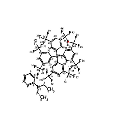 CCN(CC)c1ccccc1.FC(F)(F)c1cc([B-](c2cc(C(F)(F)F)cc(C(F)(F)F)c2)(c2cc(C(F)(F)F)cc(C(F)(F)F)c2)c2cc(C(F)(F)F)cc(C(F)(F)F)c2)cc(C(F)(F)F)c1